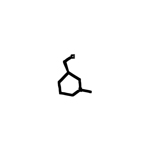 CN1CCC[C@@H](CCl)C1